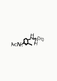 CC(=O)Nc1ccc(NNC=O)c(C)c1